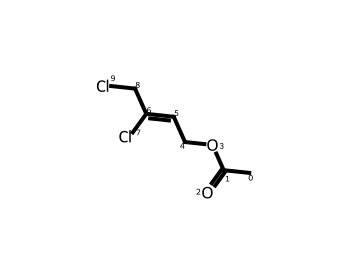 CC(=O)OCC=C(Cl)CCl